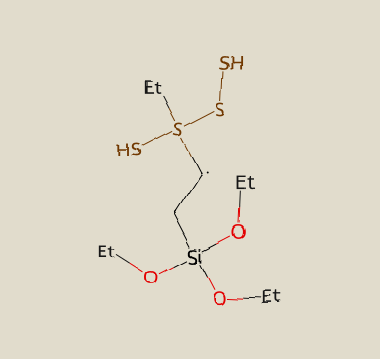 CCO[Si](C[CH]S(S)(CC)SS)(OCC)OCC